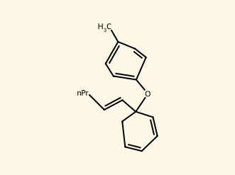 CCCC=CC1(Oc2ccc(C)cc2)C=CC=CC1